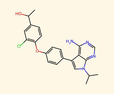 CC(O)c1ccc(Oc2ccc(-c3cn(C(C)C)c4ncnc(N)c34)cc2)c(Cl)c1